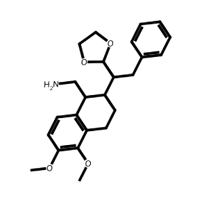 COc1ccc2c(c1OC)CCC(C(Cc1ccccc1)C1OCCO1)C2CN